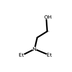 CCN(CC)C[CH]O